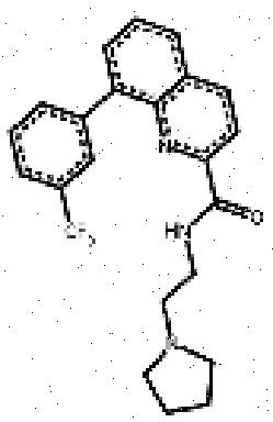 O=C(NCCN1CCCC1)c1ccc2cccc(-c3cccc(C(F)(F)F)c3)c2n1